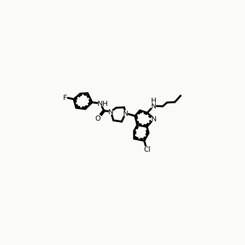 CCCCNc1cc(N2CCN(C(=O)Nc3ccc(F)cc3)CC2)c2ccc(Cl)cc2n1